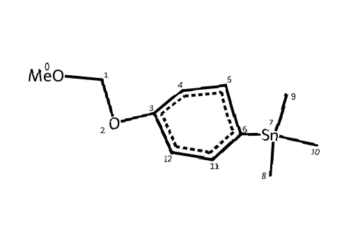 COCOc1cc[c]([Sn]([CH3])([CH3])[CH3])cc1